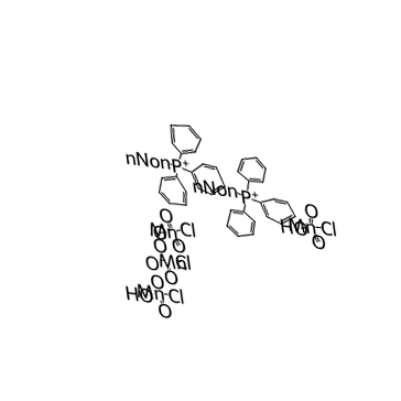 CCCCCCCCC[P+](c1ccccc1)(c1ccccc1)c1ccccc1.CCCCCCCCC[P+](c1ccccc1)(c1ccccc1)c1ccccc1.[O]=[Mn](=[O])([O-])[Cl].[O]=[Mn](=[O])([O-])[Cl].[O]=[Mn](=[O])([OH])[Cl].[O]=[Mn](=[O])([OH])[Cl]